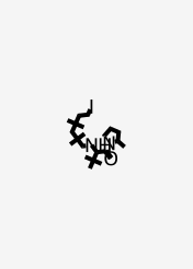 CC1CCCN1C(=O)C(NCC(C)(C)CC(C)(C)CCI)C(C)(C)C